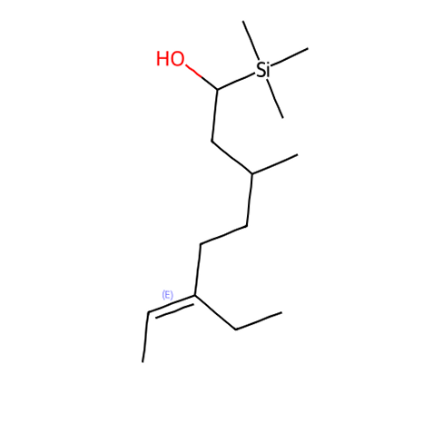 C/C=C(\CC)CCC(C)CC(O)[Si](C)(C)C